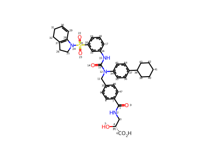 O=C(NC[C@@H](O)C(=O)O)c1ccc(CN(C(=O)Nc2cccc(S(=O)(=O)N3CCC4=C3C=CCC4)c2)c2ccc(C3CCCCC3)cc2)cc1